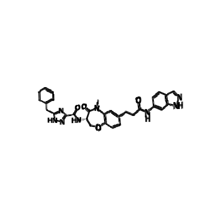 CN1C(=O)[C@@H](NC(=O)c2n[nH]c(Cc3ccccc3)n2)COc2ccc(CCC(=O)Nc3ccc4cn[nH]c4c3)cc21